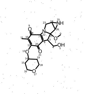 COC12C(CO)C3=C(C(=O)C(C)=C(OC4CCOCC4)C3=O)N1CC1NC12